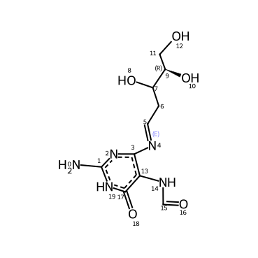 Nc1nc(/N=C/CC(O)[C@H](O)CO)c(NC=O)c(=O)[nH]1